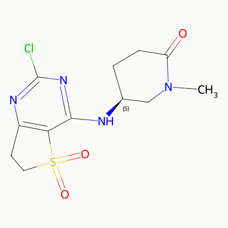 CN1C[C@@H](Nc2nc(Cl)nc3c2S(=O)(=O)CC3)CCC1=O